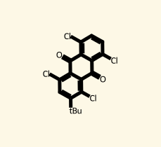 CC(C)(C)c1cc(Cl)c2c(c1Cl)C(=O)c1c(Cl)ccc(Cl)c1C2=O